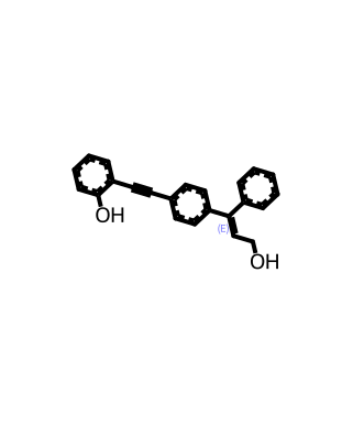 OC/C=C(\c1ccccc1)c1ccc(C#Cc2ccccc2O)cc1